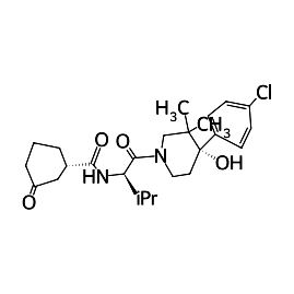 CC(C)[C@@H](NC(=O)[C@H]1CCCC(=O)C1)C(=O)N1CC[C@](O)(c2ccc(Cl)cc2)C(C)(C)C1